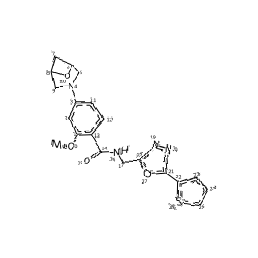 COc1cc(N2CC3CC(C2)O3)ccc1C(=O)NCc1nnc(-c2cccs2)o1